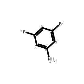 Nc1[c]c(F)cc(Br)c1